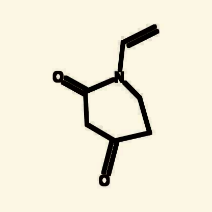 C=CN1CCC(=O)CC1=O